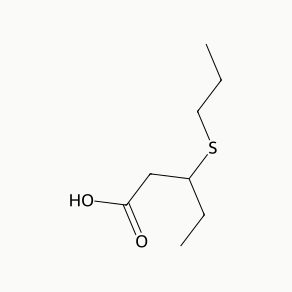 CCCSC(CC)CC(=O)O